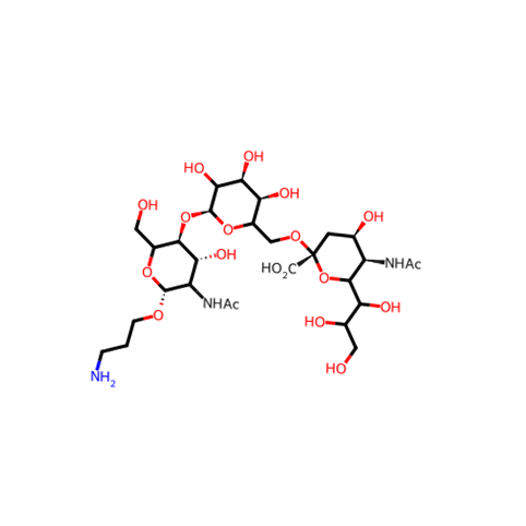 CC(=O)NC1[C@H](OCCCN)OC(CO)[C@@H](O[C@@H]2OC(CO[C@]3(C(=O)O)C[C@@H](O)[C@@H](NC(C)=O)C(C(O)C(O)CO)O3)[C@H](O)[C@H](O)C2O)[C@@H]1O